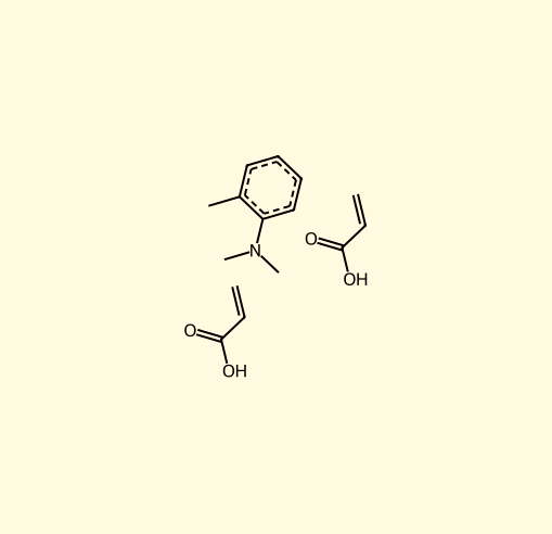 C=CC(=O)O.C=CC(=O)O.Cc1ccccc1N(C)C